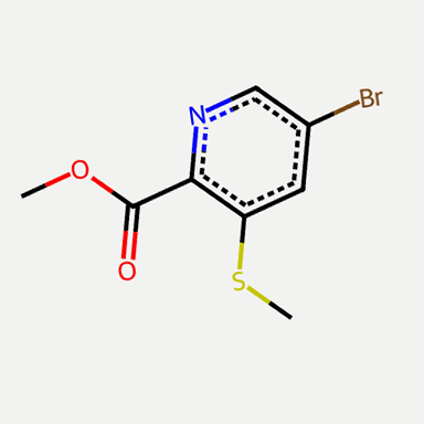 COC(=O)c1ncc(Br)cc1SC